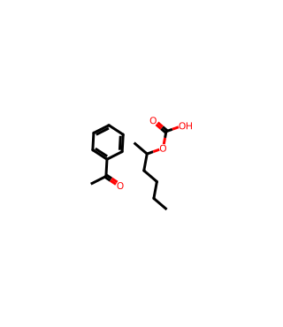 CC(=O)c1ccccc1.CCCCC(C)OC(=O)O